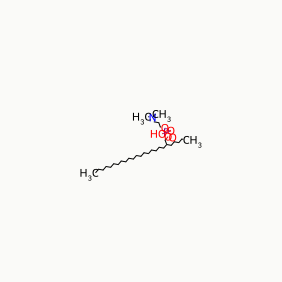 CCCCCCCCCCCCCCCCCCCC(COP(=O)(O)OCCCN(C)C)CC(=O)CCC